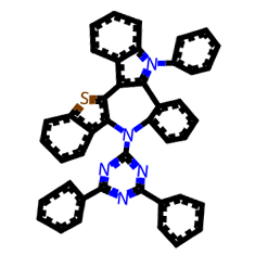 c1ccc(-c2nc(-c3ccccc3)nc(N3c4ccccc4-c4c(c5ccccc5n4-c4ccccc4)-c4sc5ccccc5c43)n2)cc1